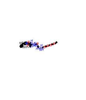 C#CCOCCOCCOCCOCCNC(=N)NCCCNC(=O)c1ncn(-c2ncc(OC)c3c(C(=O)C(=O)N4CCC(=C(C#N)c5ccccc5)CC4)c[nH]c23)n1